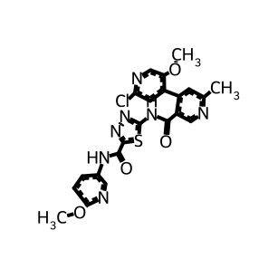 COc1ccc(NC(=O)c2nnc(NC(=O)c3cnc(C)cc3-c3cc(Cl)ncc3OC)s2)cn1